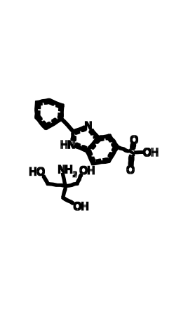 NC(CO)(CO)CO.O=S(=O)(O)c1ccc2[nH]c(-c3ccccc3)nc2c1